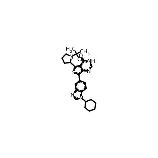 CC(C)(C)N1CCCC1c1sc(-c2ccc3c(c2)ncn3C2CCCCC2)c2nc[nH]c(=O)c12